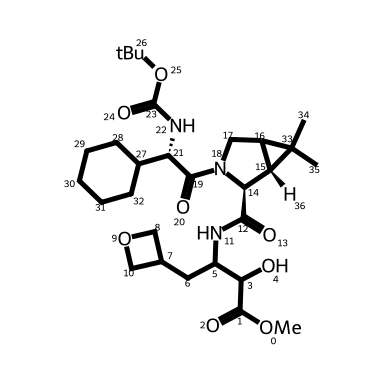 COC(=O)C(O)C(CC1COC1)NC(=O)[C@@H]1[C@@H]2C(CN1C(=O)[C@@H](NC(=O)OC(C)(C)C)C1CCCCC1)C2(C)C